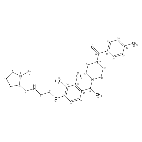 CCN1CCCC1CNCCOc1ccc(C(C)N2CCN(C(=O)c3ccc(C(F)(F)F)cc3)CC2)c(C)c1C